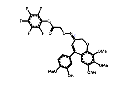 COc1ccc(C2=C/C(=N\OCC(=O)Oc3c(F)c(F)c(F)c(F)c3F)COc3c2cc(OC)c(OC)c3OC)cc1O